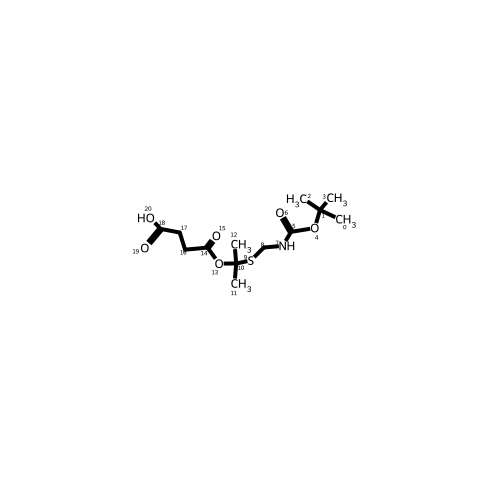 CC(C)(C)OC(=O)NCSC(C)(C)OC(=O)CCC(=O)O